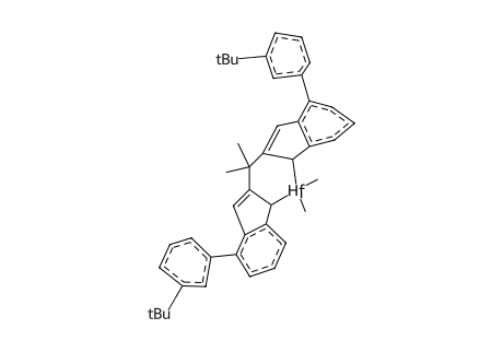 CC1(C)C2=Cc3c(-c4cccc(C(C)(C)C)c4)cccc3[CH]2[Hf]([CH3])([CH3])[CH]2C1=Cc1c(-c3cccc(C(C)(C)C)c3)cccc12